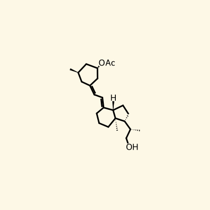 CC(=O)O[C@@H]1C/C(=C\C=C2/CCC[C@]3(C)[C@@H]([C@H](C)CO)CC[C@@H]23)C[C@@H](C)C1